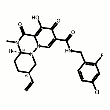 C=C[C@H]1CC[C@H]2N(C)C(=O)c3c(O)c(=O)c(C(=O)NCc4ccc(Cl)cc4F)cn3N2C1